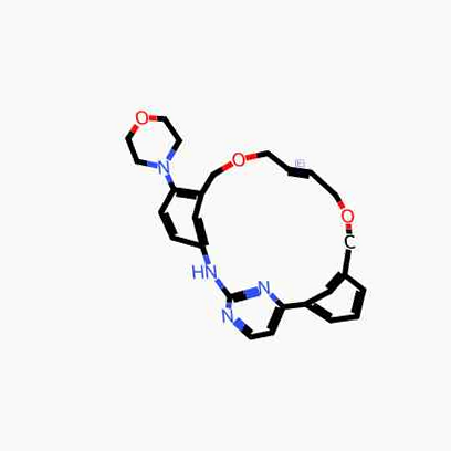 C1=C/COCc2cc(ccc2N2CCOCC2)Nc2nccc(n2)-c2cccc(c2)COC/1